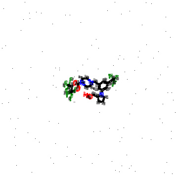 O=C(OC(C(F)(F)F)C(F)(F)F)N1CCN(Cc2cc(N3CCCC3CO)cc(C(F)(F)F)c2)CC1